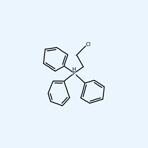 Cl[CH]C[PH](c1ccccc1)(c1ccccc1)c1ccccc1